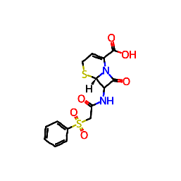 O=C(CS(=O)(=O)c1ccccc1)NC1C(=O)N2C(C(=O)O)=CCS[C@@H]12